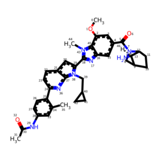 COc1cc(C(=O)N2CC3CCC2[C@@H]3N)cc2nc(-c3cc4ccc(-c5ccc(NC(C)=O)cc5C)nc4n3CC3CC3)n(C)c12